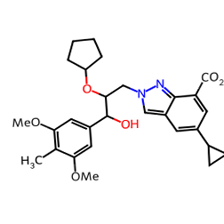 COc1cc(C(O)C(Cn2cc3cc(C4CC4)cc(C(=O)O)c3n2)OC2CCCC2)cc(OC)c1C